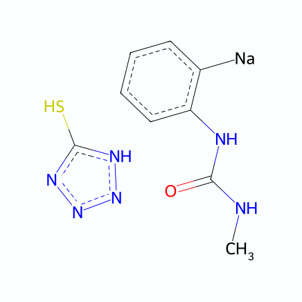 CNC(=O)Nc1cccc[c]1[Na].Sc1nnn[nH]1